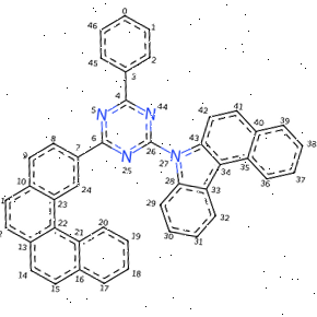 c1ccc(-c2nc(-c3ccc4ccc5ccc6ccccc6c5c4c3)nc(-n3c4ccccc4c4c5ccccc5ccc43)n2)cc1